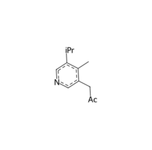 CC(=O)Cc1cncc(C(C)C)c1C